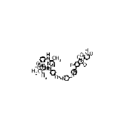 Cc1cnc(Nc2ccc(OCCN3CCC(CN4CC5CCC4CN5c4cc5c(cc4F)C(=O)N(C4CCC(=O)NC4=O)C5=O)CC3)cc2)nc1Nc1cccc(S(=O)(=O)NC(C)(C)C)c1